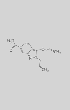 C=CCOc1c2ccc(C(N)=O)cc2nn1CC=C